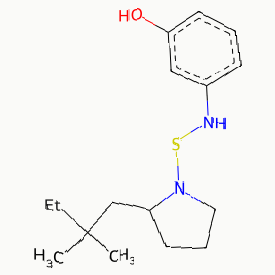 CCC(C)(C)CC1CCCN1SNc1cccc(O)c1